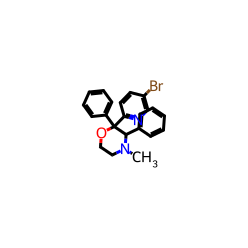 CN1CCOC(c2ccccc2)(c2ccc(Br)cn2)C1c1ccccc1